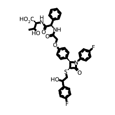 CC(O)[C@H](NC(=O)[C@H](NC(=O)COc1ccc([C@@H]2[C@@H](SCC(O)c3ccc(F)cc3)C(=O)N2c2ccc(F)cc2)cc1)c1ccccc1)C(=O)O